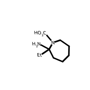 CCC1(N)CCCCCN1C(=O)O